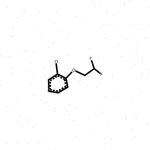 FC(F)COc1cc[c]cc1Cl